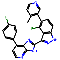 Cc1ccncc1-c1ccc2[nH]nc(-c3nc4c(-c5ccc(F)cc5)ccnc4[nH]3)c2c1F